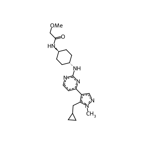 COCC(=O)N[C@H]1CC[C@H](Nc2nccc(-c3cnn(C)c3CC3CC3)n2)CC1